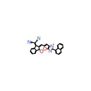 Cn1c(-c2cccc3ccccc23)nc2oc(/C=C3\C(=O)c4ccccc4C3=C(C#N)C#N)cc21